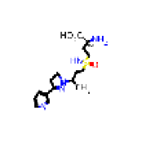 CC(CCS(=N)(=O)CC[C@H](N)C(=O)O)N1CCC(c2cccnc2)=N1